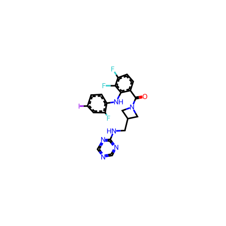 O=C(c1ccc(F)c(F)c1Nc1ccc(I)cc1F)N1CC(CNc2ncncn2)C1